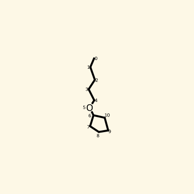 CCCCCOC1CCCC1